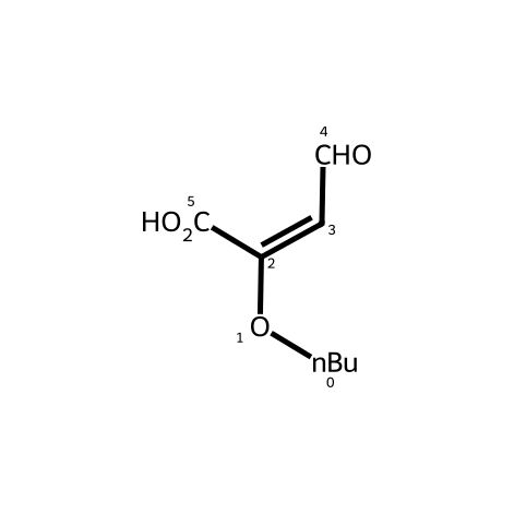 CCCCOC(=CC=O)C(=O)O